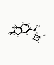 C[C@@H]1CC[C@@H]1C(=O)c1ccc2c(c1)CC(=O)N2